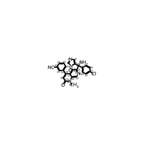 Cn1cncc1[C@@](N)(c1ccc(Cl)cc1)c1cc2c(-c3cccc(C#N)c3)cc(=O)n(C)c2cn1